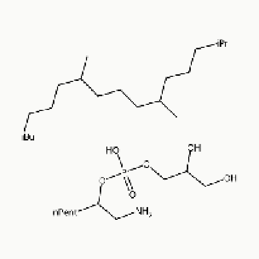 CCC(C)CCCC(C)CCCC(C)CCCC(C)C.CCCCCC(CN)OP(=O)(O)OCC(O)CO